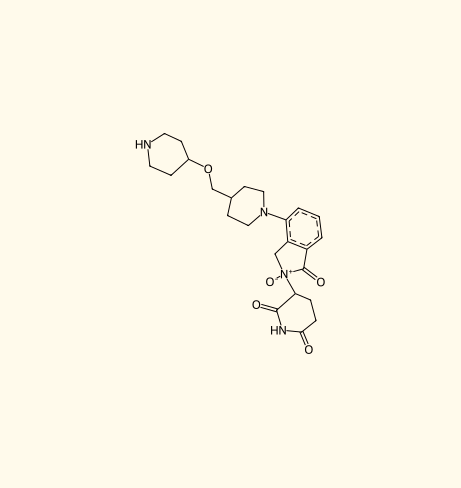 O=C1CCC([N+]2([O-])Cc3c(cccc3N3CCC(COC4CCNCC4)CC3)C2=O)C(=O)N1